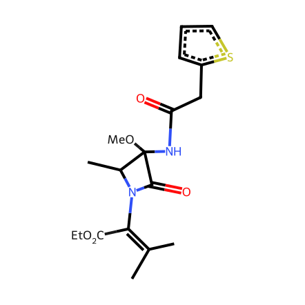 CCOC(=O)C(=C(C)C)N1C(=O)C(NC(=O)Cc2cccs2)(OC)C1C